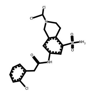 NS(=O)(=O)c1cc(NC(=O)Cc2ccccc2Cl)cc2c1CCN(C(Cl)Cl)C2